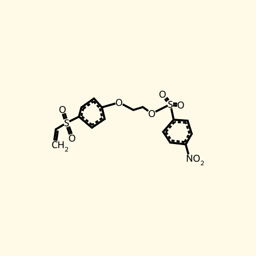 C=CS(=O)(=O)c1ccc(OCCOS(=O)(=O)c2ccc([N+](=O)[O-])cc2)cc1